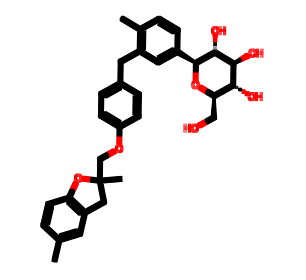 Cc1ccc2c(c1)CC(C)(COc1ccc(Cc3cc([C@@H]4O[C@H](CO)[C@@H](O)[C@H](O)[C@H]4O)ccc3C)cc1)O2